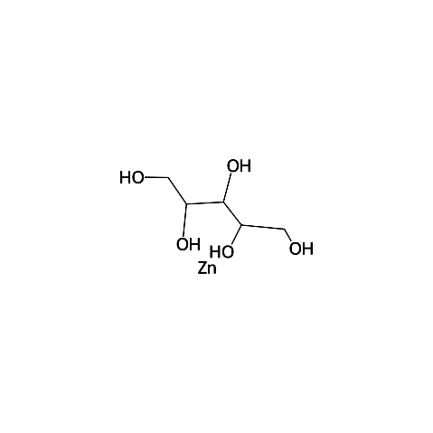 OCC(O)C(O)C(O)CO.[Zn]